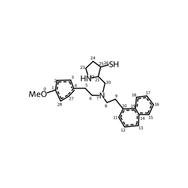 COc1ccc(CCN(CCc2cccc3ccccc23)CC2NCCC2S)cc1